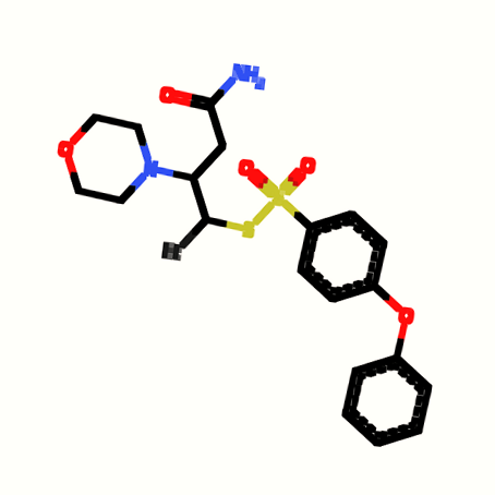 CCC(SS(=O)(=O)c1ccc(Oc2ccccc2)cc1)C(CC(N)=O)N1CCOCC1